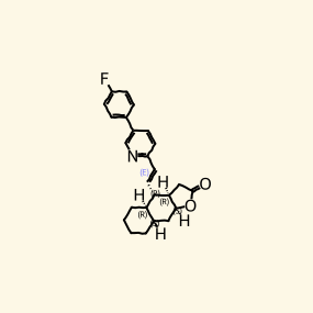 O=C1C[C@@H]2[C@@H](/C=C/c3ccc(-c4ccc(F)cc4)cn3)[C@@H]3CCCC[C@H]3C[C@@H]2O1